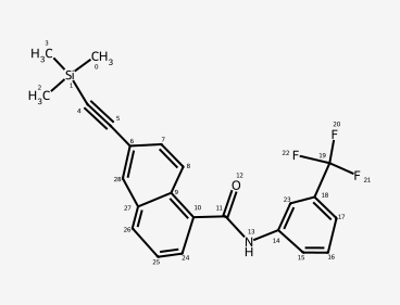 C[Si](C)(C)C#Cc1ccc2c(C(=O)Nc3cccc(C(F)(F)F)c3)cccc2c1